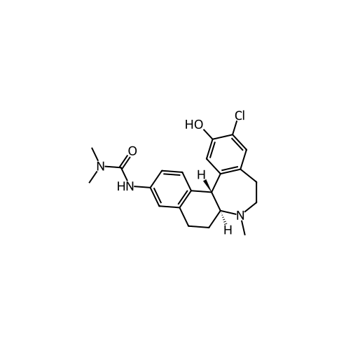 CN(C)C(=O)Nc1ccc2c(c1)CC[C@H]1[C@H]2c2cc(O)c(Cl)cc2CCN1C